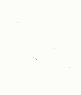 COC(=O)c1ccc(NCC(C)(C)O)c(N)c1